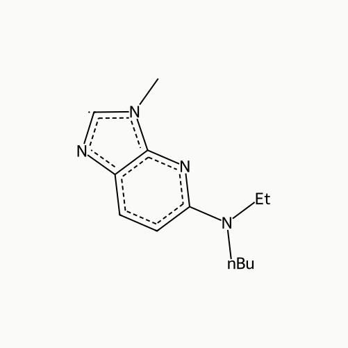 CCCCN(CC)c1ccc2n[c]n(C)c2n1